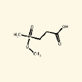 COP(C)(=O)CCC(=O)O